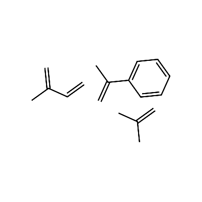 C=C(C)C.C=C(C)c1ccccc1.C=CC(=C)C